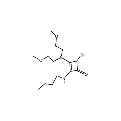 CCCCNC1=C(N(CCOC)CCOC)C(O)C1=O